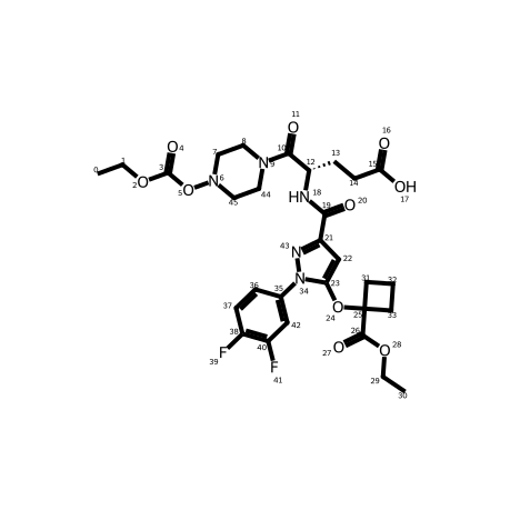 CCOC(=O)ON1CCN(C(=O)[C@H](CCC(=O)O)NC(=O)c2cc(OC3(C(=O)OCC)CCC3)n(-c3ccc(F)c(F)c3)n2)CC1